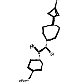 CCCCC[C@H]1CC[C@H](C(Br)C(Br)[C@H]2CC[C@H](C34CC(CCC)(C3)C4)CC2)CC1